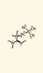 CN=C(N(C)C)[N+](C)(C)C.N#C[B-](C#N)(C#N)C#N